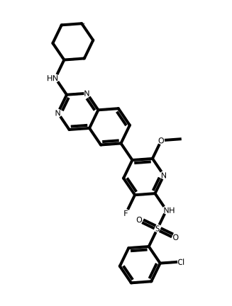 COc1nc(NS(=O)(=O)c2ccccc2Cl)c(F)cc1-c1ccc2nc(NC3CC[CH]CC3)ncc2c1